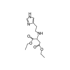 CCOC(=O)CC(NCCc1c[nH]cn1)C(=O)OCC